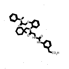 CN(C(=O)COc1ccccc1N(CC1(C)CCCCC1)C(=O)CNC(=O)Nc1cccc(CC(=O)O)c1)c1ccccc1